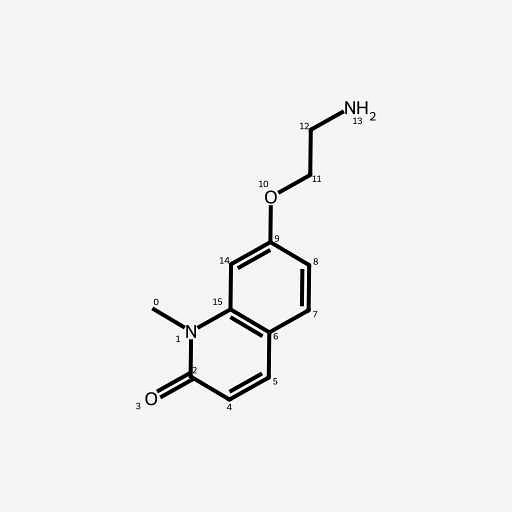 Cn1c(=O)ccc2ccc(OCCN)cc21